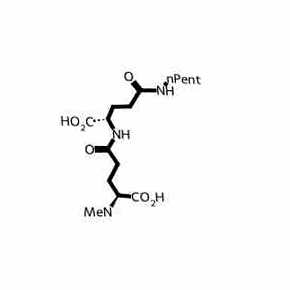 CCCCCNC(=O)CC[C@H](NC(=O)CC[C@H](NC)C(=O)O)C(=O)O